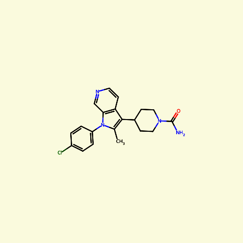 Cc1c(C2CCN(C(N)=O)CC2)c2ccncc2n1-c1ccc(Cl)cc1